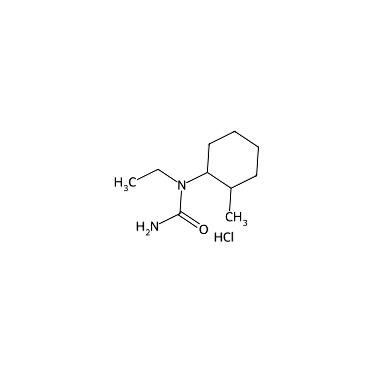 CCN(C(N)=O)C1CCCCC1C.Cl